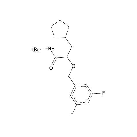 CC(C)(C)NC(=O)C(CC1CCCC1)OCc1cc(F)cc(F)c1